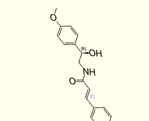 COc1ccc([C@@H](O)CNC(=O)/C=C/c2ccccc2)cc1